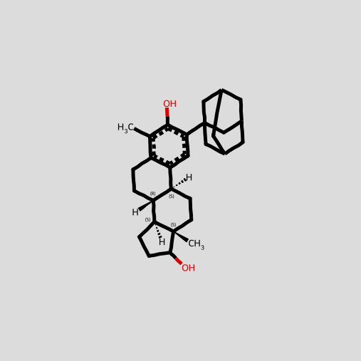 Cc1c(O)c(C23CC4CC(CC(C4)C2)C3)cc2c1CC[C@@H]1[C@@H]2CC[C@]2(C)C(O)CC[C@@H]12